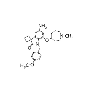 COc1ccc(CN2C(=O)C3(CCC3)c3cc(N)cc(OC4CCCN(C)CC4)c32)cc1